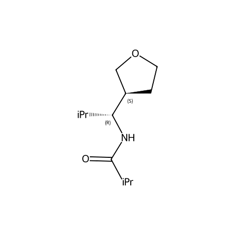 CC(C)C(=O)N[C@H](C(C)C)[C@@H]1CCOC1